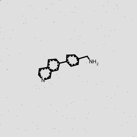 NCc1ccc(-c2ccc3ccncc3c2)cc1